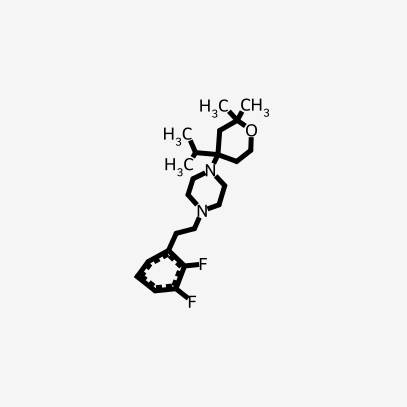 CC(C)C1(N2CCN(CCc3cccc(F)c3F)CC2)CCOC(C)(C)C1